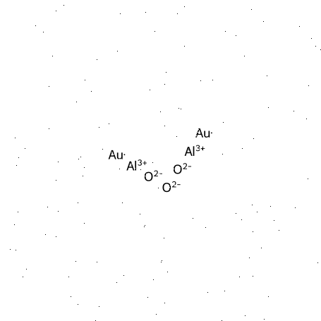 [Al+3].[Al+3].[Au].[Au].[O-2].[O-2].[O-2]